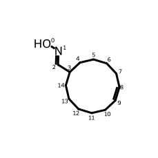 ON=CC1CCCCC=CCCCCC1